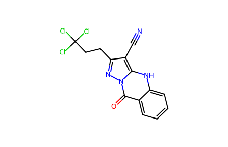 N#Cc1c(CCC(Cl)(Cl)Cl)nn2c(=O)c3ccccc3[nH]c12